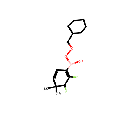 CC1(C)C=CC(B(O)OOCC2CCCCC2)=C(F)C1F